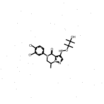 CC1CN(c2ccc(Cl)c(Cl)c2)C(=O)c2c(BOC(C)(C)C(C)(C)O)cnn21